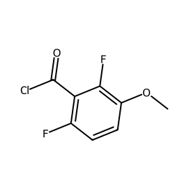 COc1ccc(F)c(C(=O)Cl)c1F